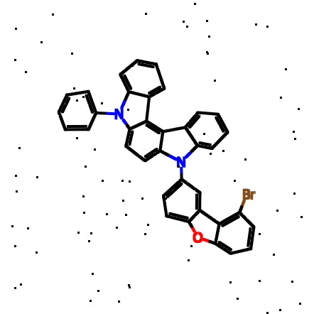 Brc1cccc2oc3ccc(-n4c5ccccc5c5c6c7ccccc7n(-c7ccccc7)c6ccc54)cc3c12